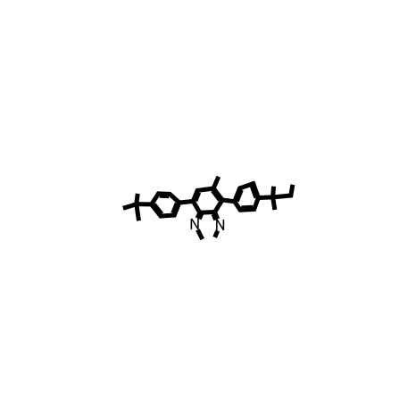 CCC(C)(C)c1ccc(C2=C(C)C=C(c3ccc(C(C)(C)C)cc3)C(=N/C)/C2=N\C)cc1